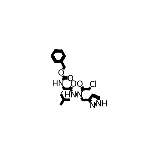 CC(C)C[C@H](NC(=O)OCc1ccccc1)C(=O)NN(Cc1cc[nH]n1)C(=O)CCl